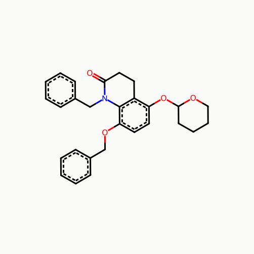 O=C1CCc2c(OC3CCCCO3)ccc(OCc3ccccc3)c2N1Cc1ccccc1